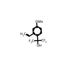 C=Cc1cc(OC)ccc1C(O)(C(F)(F)F)C(F)(F)F